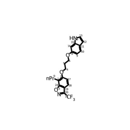 CCCc1c(OCCCOc2ccc3cc[nH]c3c2)ccc2c(C(F)(F)F)noc12